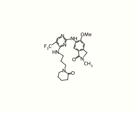 COc1cc2c(cc1Nc1ncc(C(F)(F)F)c(NCCCN3CCCCC3=O)n1)C(=O)N(C)C2